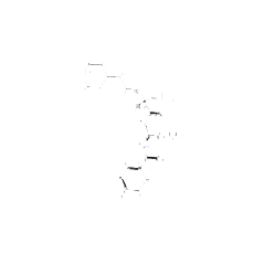 CN/C(=N\C(=N)C1=CC=C(O)CC1)NC(=O)C(C)(C)SCCC1CCOCC1